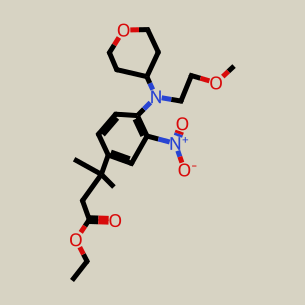 CCOC(=O)CC(C)(C)c1ccc(N(CCOC)C2CCOCC2)c([N+](=O)[O-])c1